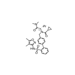 Cc1onc(NS(=O)(=O)c2ccccc2-c2ccc(CN(C(=O)C3CC3)[C@H](C(=O)N(C)C)C(C)C)cc2)c1C